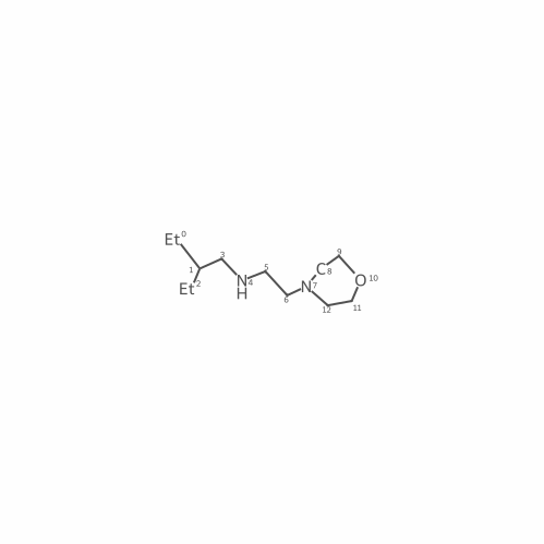 CCC(CC)CNCCN1CCOCC1